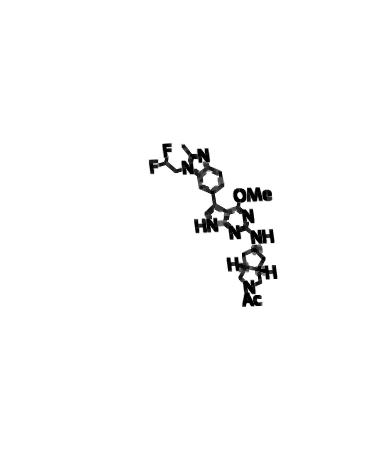 COc1nc(N[C@@H]2C[C@@H]3CN(C(C)=O)C[C@@H]3C2)nc2[nH]cc(-c3ccc4nc(C)n(CC(F)F)c4c3)c12